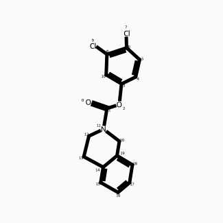 O=C(Oc1ccc(Cl)c(Cl)c1)N1CCc2ccccc2C1